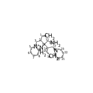 C=CC(C[n+]1ccccc1)C(N)(CN)C(C=C)C[n+]1ccccc1